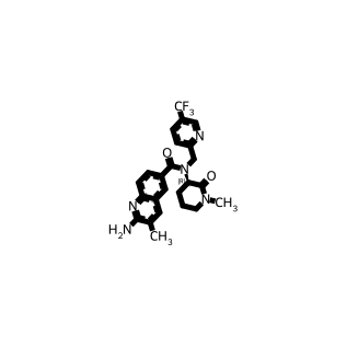 Cc1cc2cc(C(=O)N(Cc3ccc(C(F)(F)F)cn3)[C@@H]3CCCN(C)C3=O)ccc2nc1N